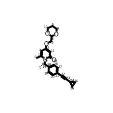 Cc1cc(OCC2OCCCO2)cc(=O)n1[C@@H](C)c1ccc(C#CC2CC2)cc1